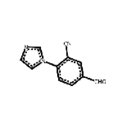 N#Cc1cc(C=O)ccc1-n1ccnc1